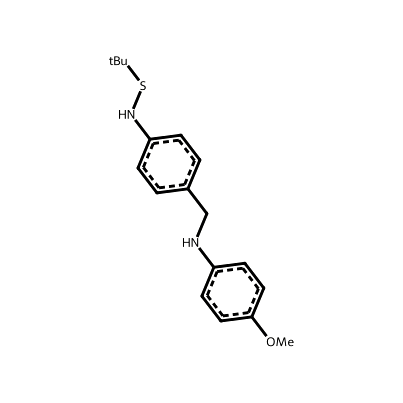 COc1ccc(NCc2ccc(NSC(C)(C)C)cc2)cc1